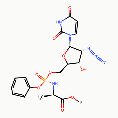 CC(C)OC(=O)[C@@H](C)N[P@](=O)(OC[C@H]1O[C@@H](n2ccc(=O)[nH]c2=O)[C@H](N=[N+]=[N-])[C@@H]1O)Oc1ccccc1